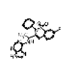 C[C@H](Nc1ncnc2[nH]cnc12)C1=Cc2ccc(F)cc2S(=O)(=O)N1c1ccccc1